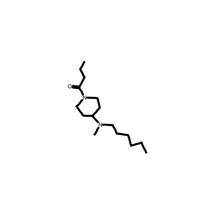 CCCCCCN(C)C1CCN(C(=O)CCC)CC1